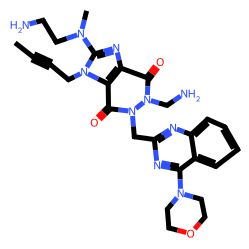 CC#CCn1c(N(C)CCN)nc2c(=O)n(CN)n(Cc3nc(N4CCOCC4)c4ccccc4n3)c(=O)c21